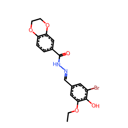 CCOc1cc(/C=N/NC(=O)c2ccc3c(c2)OCCO3)cc(Br)c1O